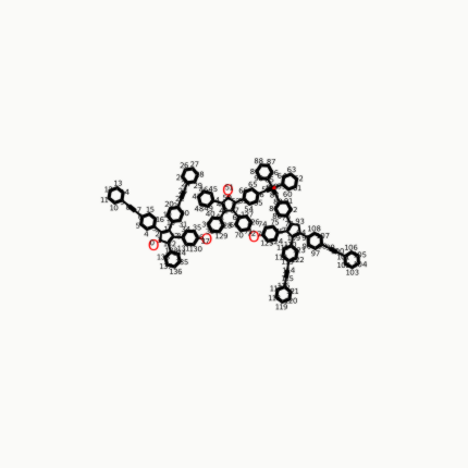 O=C1C(c2ccc(C#Cc3ccccc3)cc2)=C(c2ccc(C#Cc3ccccc3)cc2)C(c2ccc(Oc3ccc(C4=C(c5ccccc5)C(=O)C(c5ccc(C#Cc6ccccc6)cc5)=C4c4ccc(Oc5ccc(C6=C(c7ccc(C#Cc8ccccc8)cc7)CC(c7ccc(C#Cc8ccccc8)cc7)=C6c6ccc(C#Cc7ccccc7)cc6)cc5)cc4)cc3)cc2)=C1c1ccccc1